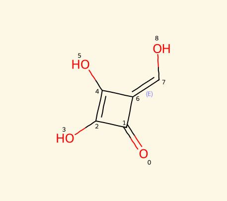 O=C1C(O)=C(O)/C1=C\O